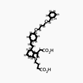 O=C(O)CCCn1cc(CC(=O)O)c2c(C=Cc3ccc(OCCCOCc4ccccc4)cc3)cccc21